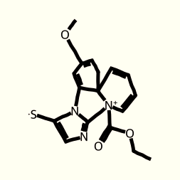 CCOC(=O)[N+]12C=CC=CC13CC=C(OC)C=C3n1c([S])cnc12